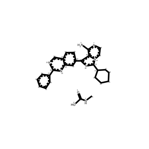 CNC(=O)O.Nc1nccn2c(C3CCCCC3)nc(-c3ccc4cnc(-c5ccccc5)nc4c3)c12